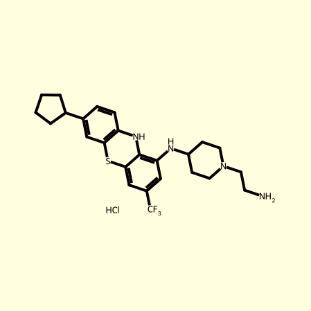 Cl.NCCN1CCC(Nc2cc(C(F)(F)F)cc3c2Nc2ccc(C4CCCC4)cc2S3)CC1